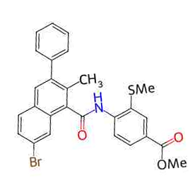 COC(=O)c1ccc(NC(=O)c2c(C)c(-c3ccccc3)cc3ccc(Br)cc23)c(SC)c1